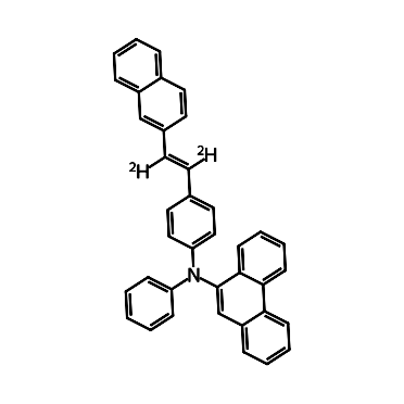 [2H]/C(=C(/[2H])c1ccc2ccccc2c1)c1ccc(N(c2ccccc2)c2cc3ccccc3c3ccccc23)cc1